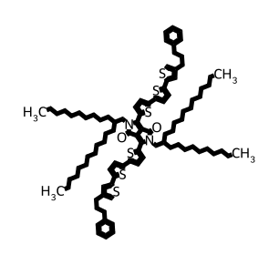 CCCCCCCCCCCCC(CCCCCCCCCC)CN1C(=O)C2=C(c3ccc(-c4ccc(-c5cc(CCCc6ccccc6)cs5)s4)s3)N(CC(CCCCCCCCCC)CCCCCCCCCCCC)C(=O)C2=C1c1ccc(-c2ccc(-c3cc(CCCc4ccccc4)cs3)s2)s1